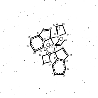 C[CH]=[Zr]([Cl])([Cl])([C]1([Si]2(CC)CCC2)C=Cc2ccccc21)[C]1([Si]2(CC)CCC2)C=Cc2ccccc21